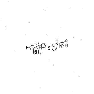 Nc1cc(F)ccc1NC(=O)c1ccc(CSc2nccc(Nc3cc(C4CC4)[nH]n3)n2)cc1